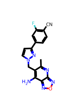 Cc1nc2nonc2c(N)c1Cn1ccc(-c2ccc(C#N)c(F)c2)n1